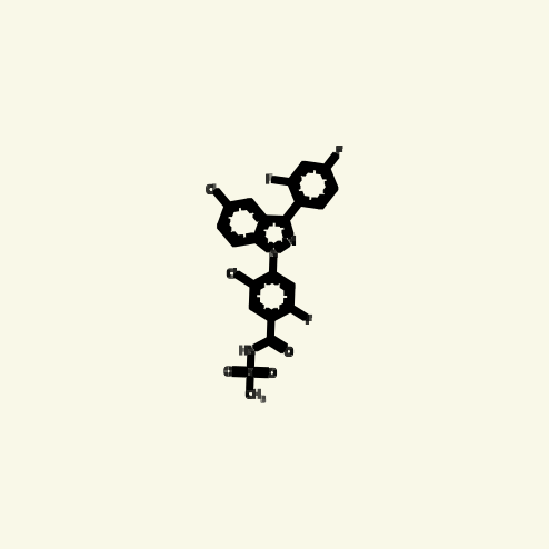 CS(=O)(=O)NC(=O)c1cc(Cl)c(-n2nc(-c3ccc(F)cc3F)c3cc(Cl)ccc32)cc1F